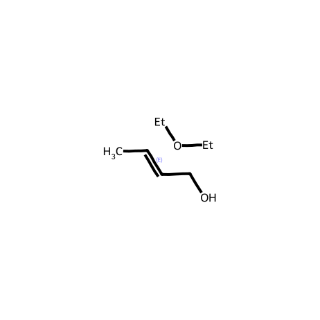 C/C=C/CO.CCOCC